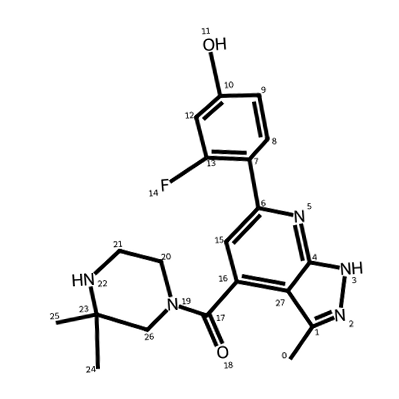 Cc1n[nH]c2nc(-c3ccc(O)cc3F)cc(C(=O)N3CCNC(C)(C)C3)c12